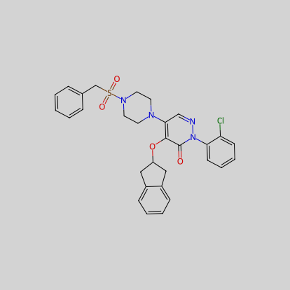 O=c1c(OC2Cc3ccccc3C2)c(N2CCN(S(=O)(=O)Cc3ccccc3)CC2)cnn1-c1ccccc1Cl